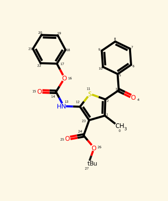 Cc1c(C(=O)c2ccccc2)sc(NC(=O)Oc2ccccc2)c1C(=O)OC(C)(C)C